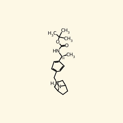 C[C@H](NC(=O)OC(C)(C)C)c1ccc(CN2CC3CCC(C2)N3C)cc1